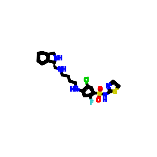 O=S(=O)(Nc1nccs1)c1cc(Cl)c(NCCCCNC[C@H]2NCc3ccccc32)cc1F